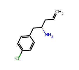 C=CC[C@H](N)Cc1ccc(Cl)cc1